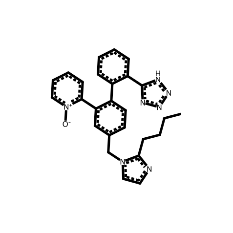 CCCCc1nccn1Cc1ccc(-c2ccccc2-c2nnn[nH]2)c(-c2cccc[n+]2[O-])c1